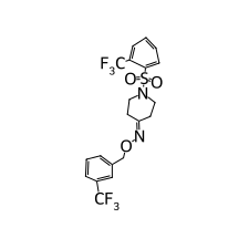 O=S(=O)(c1ccccc1C(F)(F)F)N1CCC(=NOCc2cccc(C(F)(F)F)c2)CC1